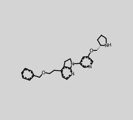 c1ccc(COCCc2ccnc3c2CCN3c2cncc(OC[C@@H]3CCCN3)c2)cc1